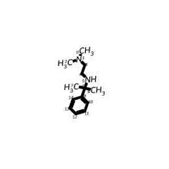 CN(C)CCNC(C)(C)c1ccccc1